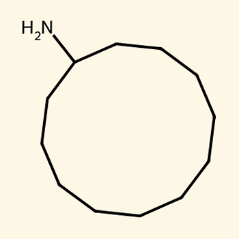 NC1CCCCCCCCCCC1